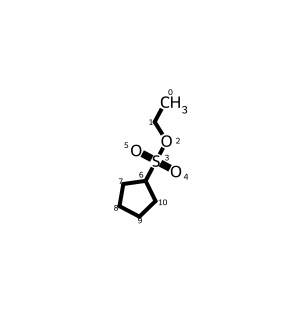 CCOS(=O)(=O)C1CCCC1